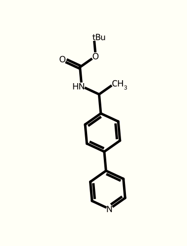 CC(NC(=O)OC(C)(C)C)c1ccc(-c2ccncc2)cc1